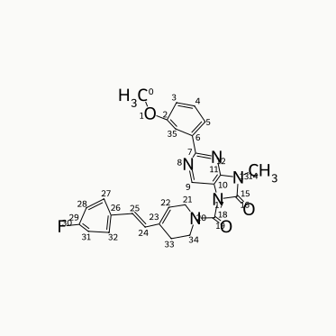 COc1cccc(-c2ncc3c(n2)n(C)c(=O)n3C(=O)N2CC=C(C=Cc3ccc(F)cc3)CC2)c1